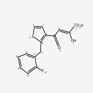 O=C(O)C(O)=CC(=O)c1ccsc1Cc1ccccc1F